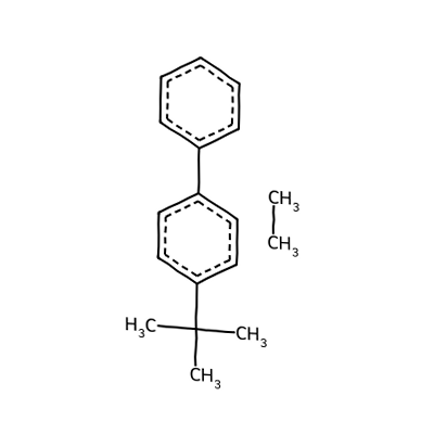 CC.CC(C)(C)c1ccc(-c2ccccc2)cc1